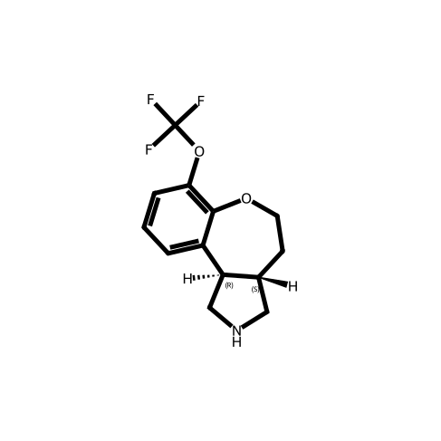 FC(F)(F)Oc1cccc2c1OCC[C@@H]1CNC[C@@H]21